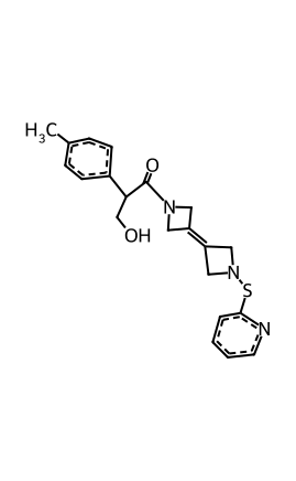 Cc1ccc(C(CO)C(=O)N2CC(=C3CN(Sc4ccccn4)C3)C2)cc1